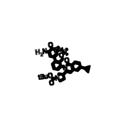 Cn1cc(-c2cccc(-n3c(C4CCN(C(=O)OC(C)(C)C)C4)cc4cc(C5CC5)ccc4c3=O)c2CO[Si](C)(C)C(C)(C)C)cc(N)c1=O